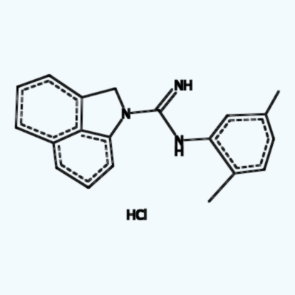 Cc1ccc(C)c(NC(=N)N2Cc3cccc4cccc2c34)c1.Cl